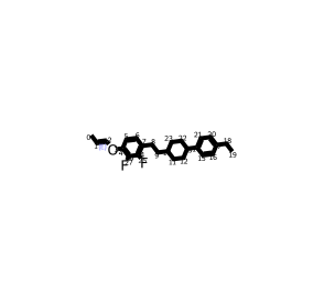 C/C=C/Oc1ccc(CCC2CCC(c3ccc(CC)cc3)CC2)c(F)c1F